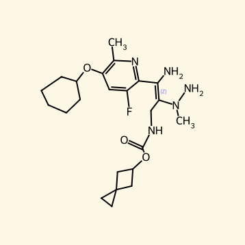 Cc1nc(/C(N)=C(\CNC(=O)OC2CC3(CC3)C2)N(C)N)c(F)cc1OC1CCCCC1